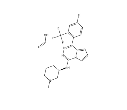 CN1CCC[C@@H](Nc2nnc(-c3ccc(Cl)cc3C(F)(F)F)c3cccn23)C1.O=CO